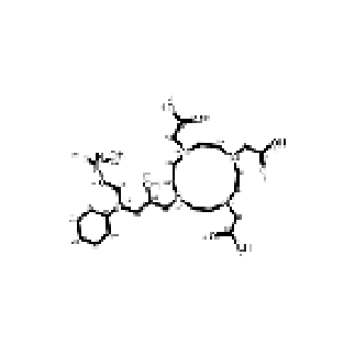 O=C(O)CN1CCN(CC(=O)O)CCN(CC(O)CN(CO[PH](=O)O)C2CCCCC2)CCN(CC(=O)O)CC1